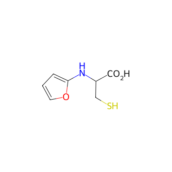 O=C(O)C(CS)Nc1ccco1